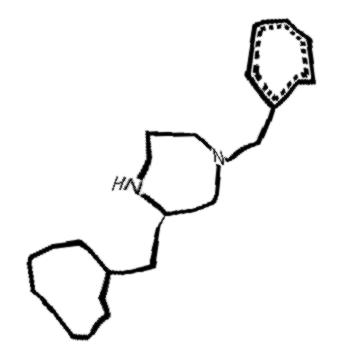 c1ccc(CN2CCN[C@H](CC3CCCCC3)C2)cc1